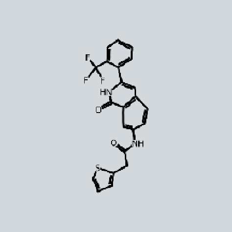 O=C(Cc1cccs1)Nc1ccc2cc(-c3ccccc3C(F)(F)F)[nH]c(=O)c2c1